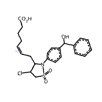 O=C(O)CCC/C=C\CC1C(Cl)CS(=O)(=O)N1c1ccc(C(O)c2ccccc2)cc1